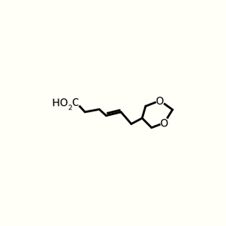 O=C(O)CCC=CCC1COCOC1